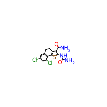 NC(=O)Nc1sc2c(c1C(N)=O)CCc1cc(Cl)cc(Cl)c1-2